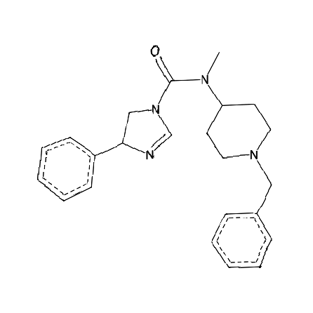 CN(C(=O)N1C=NC(c2ccccc2)C1)C1CCN(Cc2ccccc2)CC1